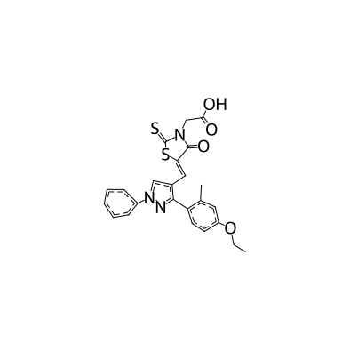 CCOc1ccc(-c2nn(-c3ccccc3)cc2/C=C2\SC(=S)N(CC(=O)O)C2=O)c(C)c1